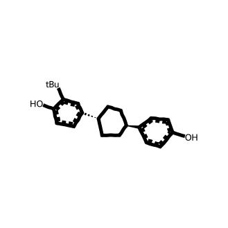 CC(C)(C)c1cc([C@H]2CC[C@H](c3ccc(O)cc3)CC2)ccc1O